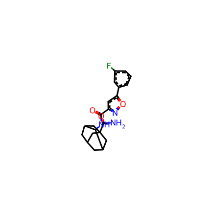 NC(=O)C12CC3CC(C1)C(NC(=O)c1cc(-c4cccc(F)c4)on1)C(C3)C2